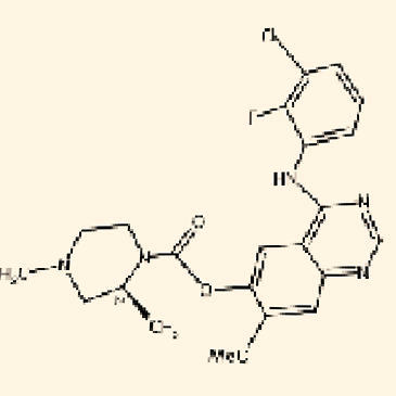 COc1cc2ncnc(Nc3cccc(Cl)c3F)c2cc1OC(=O)N1CCN(C)C[C@@H]1C